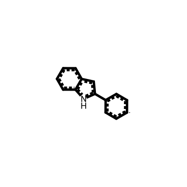 [c]1ccc(-c2cc3ccccc3[nH]2)cc1